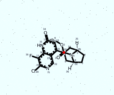 CC(C)(C)OC(=O)N1[C@@H]2CC[C@H]1CN(c1cc(=O)[nH]c3c(F)c(Cl)ncc13)C2